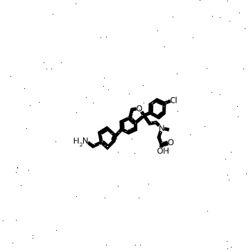 CN(CCC1(c2ccc(Cl)cc2)OCc2cc(-c3ccc(CN)cc3)ccc21)CC(=O)O